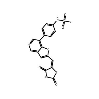 CS(=O)(=O)Nc1ccc(-c2cncc3cc(C=C4SC(=O)NC4=O)oc23)cc1